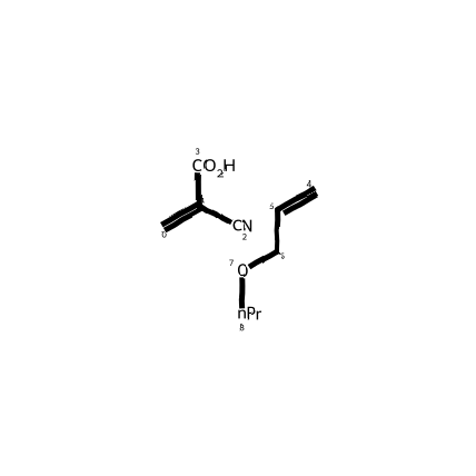 C=C(C#N)C(=O)O.C=CCOCCC